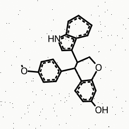 COc1ccc(C2c3ccc(O)cc3OCC2c2c[nH]c3ccccc23)cc1